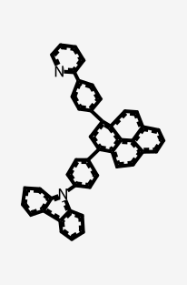 c1ccc(-c2ccc(-c3cc(-c4ccc(-n5c6ccccc6c6ccccc65)cc4)c4ccc5cccc6ccc3c4c65)cc2)nc1